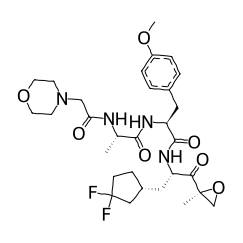 COc1ccc(C[C@H](NC(=O)[C@H](C)NC(=O)CN2CCOCC2)C(=O)N[C@@H](C[C@H]2CCC(F)(F)C2)C(=O)[C@]2(C)CO2)cc1